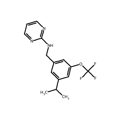 CC(C)c1cc(CNc2nc[c]cn2)cc(OC(F)(F)F)c1